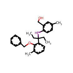 CCC(CC)(Pc1ccc(C)cc1CO)c1cccc(C)c1OCc1ccccc1